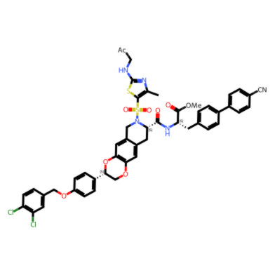 COC(=O)[C@H](Cc1ccc(-c2ccc(C#N)cc2)cc1)NC(=O)[C@@H]1Cc2cc3c(cc2CN1S(=O)(=O)c1sc(NCC(C)=O)nc1C)O[C@@H](c1ccc(OCc2ccc(Cl)c(Cl)c2)cc1)CO3